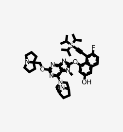 CC(C)S(C#Cc1c(F)ccc2cc(O)cc(Oc3nc4nc(OCC56CCCN5CCC6)nc(N5CC6CCC(C5)N6)c4n3C)c12)(C(C)C)C(C)C